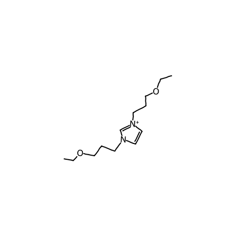 CCOCCCn1cc[n+](CCCOCC)c1